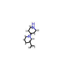 CC(C)C1CCCN(C2CCNCC2)C1